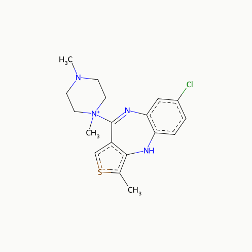 Cc1scc2c1Nc1ccc(Cl)cc1N=C2[N+]1(C)CCN(C)CC1